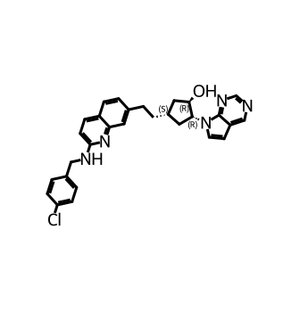 O[C@@H]1C[C@@H](CCc2ccc3ccc(NCc4ccc(Cl)cc4)nc3c2)C[C@H]1n1ccc2cncnc21